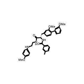 COc1ccc(NCCNC(=O)[C@H](Cc2ccc(-c3cccc(OC)c3)c(OC)c2)NC(=O)c2cccc(C)c2)cc1